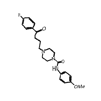 COc1ccc(NC(=O)N2CCN(CCCC(=O)c3ccc(F)cc3)CC2)cc1